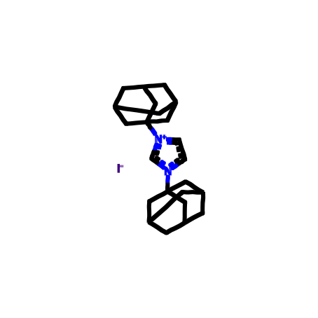 [I-].c1c[n+](C23CC4CC(CC(C4)C2)C3)cn1C12CC3CC(CC(C3)C1)C2